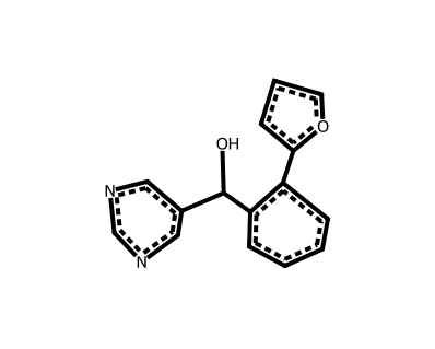 OC(c1cncnc1)c1ccccc1-c1ccco1